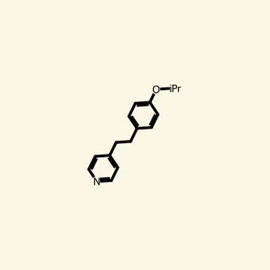 CC(C)Oc1ccc(CCc2ccncc2)cc1